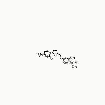 Nc1ccn(C2CCC(COP(O)OP(O)OP(O)O)O2)c(=O)n1